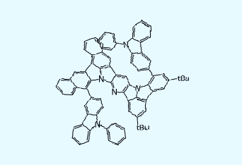 CC(C)(C)c1cc(-c2ccc3c(c2)c2ccccc2n3-c2ccccc2)c2c(c1)c1cc(C(C)(C)C)cc3c4nc5c(cc4n2c13)c1cc2ccccc2c2c3cc4ccccc4c(-c4ccc6c(c4)c4ccccc4n6-c4ccccc4)c3n5c12